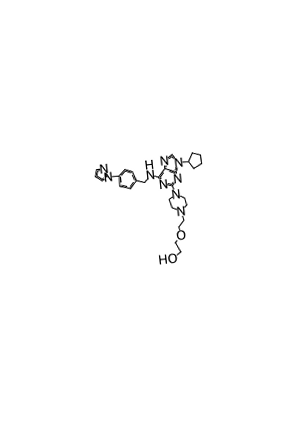 OCCOCCN1CCN(c2nc(NCc3ccc(-n4cccn4)cc3)c3ncn(C4CCCC4)c3n2)CC1